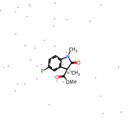 COC(=O)[C@]1(C)C(=O)N(C)c2ccc(F)cc21